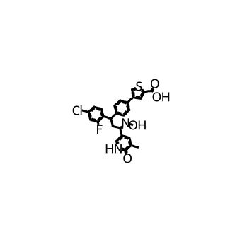 Cc1cc(C(CC(c2ccc(-c3csc(C(=O)O)c3)cc2)c2ccc(Cl)cc2F)=NO)c[nH]c1=O